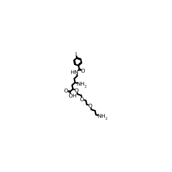 NCCCOCCOCCOC(CC(N)CCNC(=O)c1ccc(I)cc1)C(=O)O